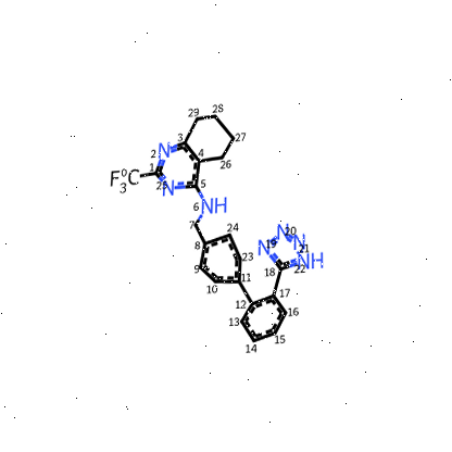 FC(F)(F)c1nc2c(c(NCc3ccc(-c4ccccc4-c4nnn[nH]4)cc3)n1)CCCC2